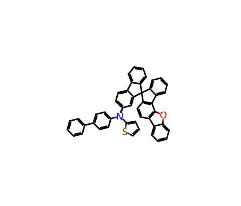 c1ccc(-c2ccc(N(c3ccc4c(c3)C3(c5ccccc5-4)c4ccccc4-c4c3ccc3c4oc4ccccc43)c3cccs3)cc2)cc1